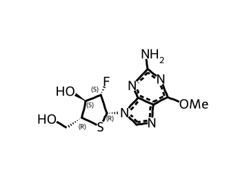 COc1nc(N)nc2c1ncn2[C@@H]1S[C@H](CO)[C@@H](O)[C@@H]1F